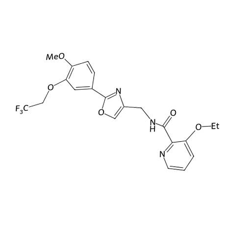 CCOc1cccnc1C(=O)NCc1coc(-c2ccc(OC)c(OCC(F)(F)F)c2)n1